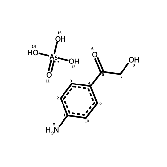 Nc1ccc(C(=O)CO)cc1.O=[As](O)(O)O